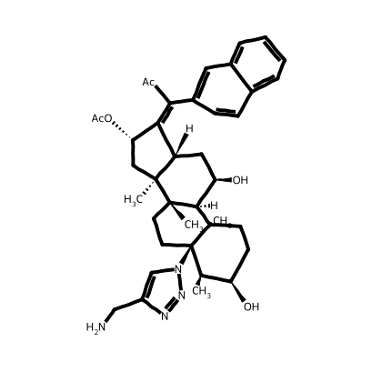 CC(=O)O[C@H]1C[C@@]2(C)[C@@H](C[C@@H](O)[C@@H]3[C@]2(C)CC[C@@]2(n4cc(CN)nn4)[C@H](C)[C@H](O)CC[C@]32C)/C1=C(/C(C)=O)c1ccc2ccccc2c1